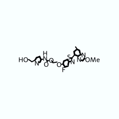 COc1cnc2c(-c3nc4cc(F)c(OCCOC(=O)Nc5ccc(CCO)nc5)cc4s3)cc(C)cc2n1